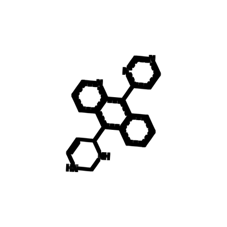 C1=CC(c2c3ccccc3c(-c3ccncn3)c3ncccc23)NCN1